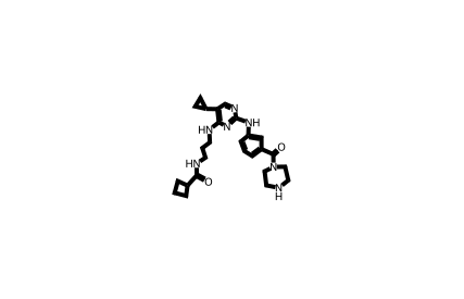 O=C(NCCCNc1nc(Nc2cccc(C(=O)N3CCNCC3)c2)ncc1C1CC1)C1CCC1